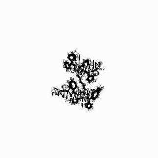 CN[C@@H](C)C(=O)N[C@H](C(=O)N1CCCC1C(=O)N[C@H](C(=O)NCCCCCCNC(=O)[C@@H](NC(=O)C1CCCN1C(=O)[C@@H](NC(=O)[C@@H](C)NC)C1CCCC1)C(c1ccccc1)c1ccccc1)C(c1ccccc1)c1ccccc1)C1CCCCC1